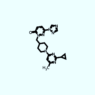 Cc1cc(N2CCC(Cn3nc(-n4cncn4)ccc3=O)CC2)nc(C2CC2)n1